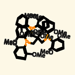 COc1cccc(OC)c1P(CC(C)(CP(c1c(OC)cccc1OC)c1c(OC)cccc1OC)CP(c1c(OC)cccc1OC)c1c(OC)cccc1OC)c1c(OC)cccc1OC